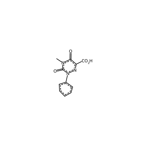 Cn1c(=O)c(C(=O)O)nn(-c2ccccc2)c1=O